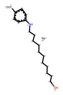 O=C([O-])c1ccc(NCCCCCCCCCCCO)cc1.[Na+]